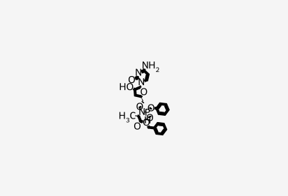 C[C@@H](C(=O)OCc1ccccc1)N(OC[C@@H]1CC(O)[C@H](n2ccc(N)nc2=O)O1)[PH](=O)Oc1ccccc1